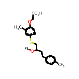 CCOC(CCc1ccc(C(F)(F)F)cc1)CSc1ccc(OCC(=O)O)c(C)c1